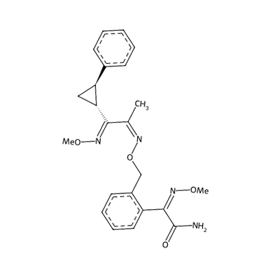 CON=C(C(N)=O)c1ccccc1CON=C(C)C(=NOC)[C@@H]1C[C@H]1c1ccccc1